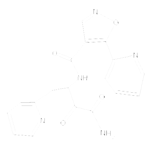 NC(=O)C(=O)C(Cc1ccccn1)NC(=O)c1cnoc1-c1ccccn1